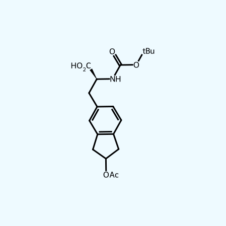 CC(=O)OC1Cc2ccc(C[C@H](NC(=O)OC(C)(C)C)C(=O)O)cc2C1